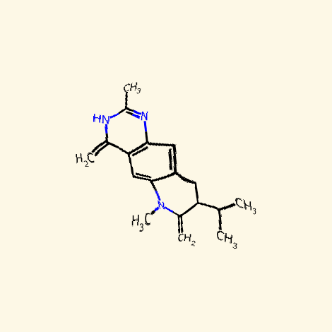 C=C1NC(C)=Nc2cc3c(cc21)N(C)C(=C)C(C(C)C)C3